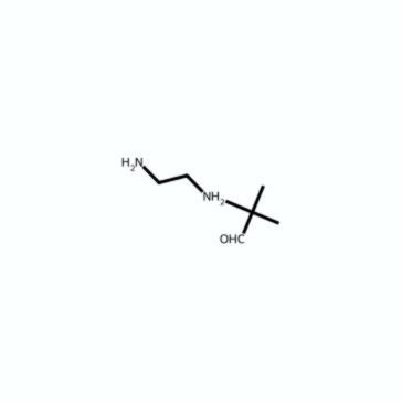 CC(C)(C)C=O.NCCN